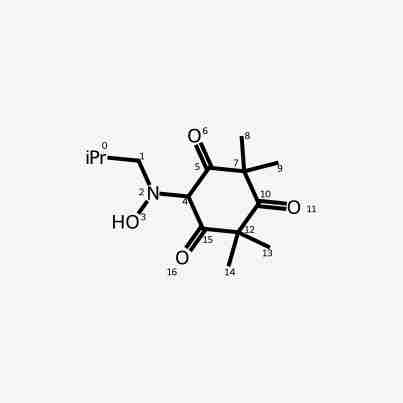 CC(C)CN(O)C1C(=O)C(C)(C)C(=O)C(C)(C)C1=O